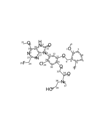 COc1cccc(F)c1COc1cc(-n2c(=O)[nH]c3c(OC)nc(CF)nc32)c(Cl)cc1OCC(=O)N(C)CCO